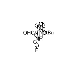 CC(C)(C)OC(=O)NC(CN1C[C@@H](NC2CCc3cc(F)ccc32)CC1C=O)C(=O)N1CCCC1C#N